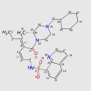 CC/C=C(\C=C/CNS(=O)(=O)c1cccc2cccnc12)C(=O)N1CCN(CC2CCCCC2)C[C@H]1C